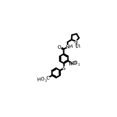 CCN1CCCC1CNC(=O)c1ccc(Sc2ccc(C(=O)O)cc2)c([N+](=O)[O-])c1.Cl